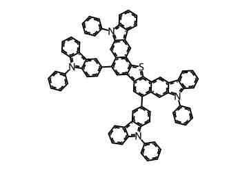 c1ccc(-n2c3ccccc3c3cc(-c4cc5c6cc(-c7ccc8c(c7)c7ccccc7n8-c7ccccc7)c7cc8c(cc7c6sc5c5cc6c7ccccc7n(-c7ccccc7)c6cc45)c4ccccc4n8-c4ccccc4)ccc32)cc1